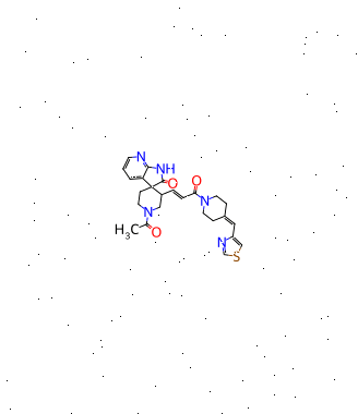 CC(=O)N1CCC2(C(=O)Nc3ncccc32)C(/C=C/C(=O)N2CCC(=Cc3cscn3)CC2)C1